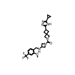 COc1cc(C(F)(F)F)ccc1CNC1CN(C(=O)N2CC3(CC(c4nnc(C5CC5)[nH]4)C3)C2)C1